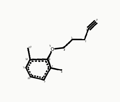 C#CCCCOc1c(C)cccc1C